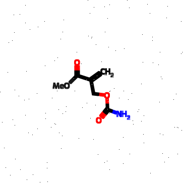 C=C(COC(N)=O)C(=O)OC